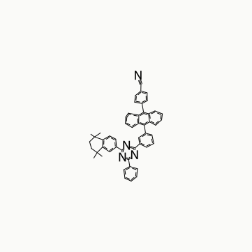 CC1(C)CCC(C)(C)c2cc(-c3nc(-c4ccccc4)nc(-c4cccc(-c5c6ccccc6c(-c6ccc(C#N)cc6)c6ccccc56)c4)n3)ccc21